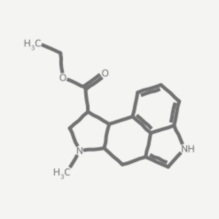 CCOC(=O)C1CN(C)C2Cc3c[nH]c4cccc(c34)C12